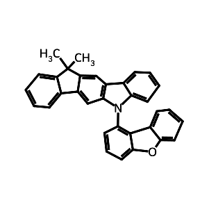 CC1(C)c2ccccc2-c2cc3c(cc21)c1ccccc1n3-c1cccc2oc3ccccc3c12